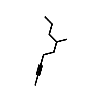 CC#CCC[C](C)CCC